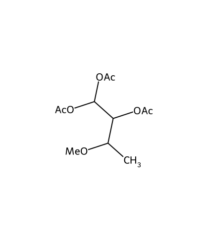 COC(C)C(OC(C)=O)C(OC(C)=O)OC(C)=O